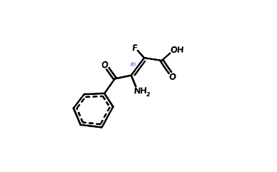 N/C(C(=O)c1ccccc1)=C(/F)C(=O)O